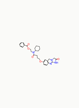 O=C1CN2Cc3cc(OCCCC(=O)N(CCOC(=O)c4ccccc4)C4CCCCC4)ccc3N=C2N1